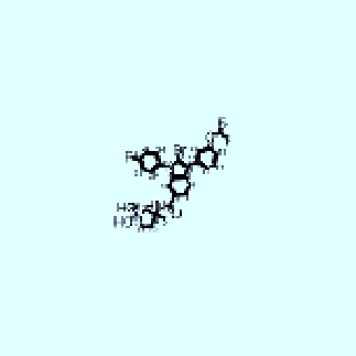 CC1(NC(=O)c2ccc3c(-c4cccc(OC(F)F)c4)c(Br)n(-c4ccc(F)cc4)c3c2)CCS(O)(O)C1